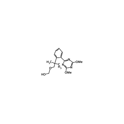 COc1nc(OC)nc(-c2ccccc2C(C)(C)COCO)n1